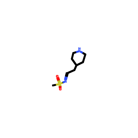 CS(=O)(=O)N=CCC1CCNCC1